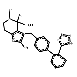 CCCc1nc2c(n1Cc1ccc(-c3ccccc3-c3nnn[nH]3)cc1)C(C(C)=O)(C(=O)OCC)N(C(C)=O)CC2